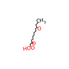 CCCC(=O)CCCCCCCC(=O)CC(=O)O